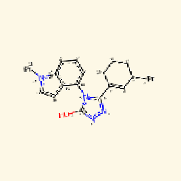 CC(C)C1C=C(c2nnc(O)n2-c2cccc3c2ccn3C(C)C)CCC1